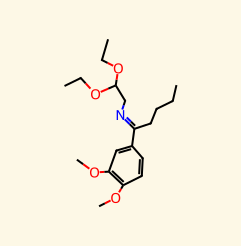 CCCCC(=NCC(OCC)OCC)c1ccc(OC)c(OC)c1